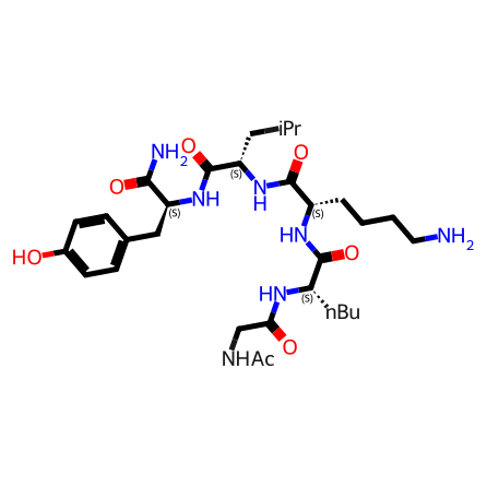 CCCC[C@H](NC(=O)CNC(C)=O)C(=O)N[C@@H](CCCCN)C(=O)N[C@@H](CC(C)C)C(=O)N[C@@H](Cc1ccc(O)cc1)C(N)=O